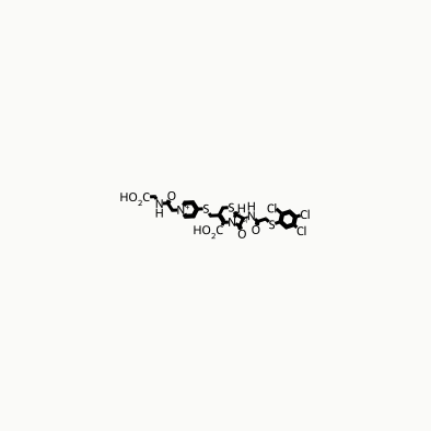 O=C(O)CNC(=O)C[n+]1ccc(SCC2=C(C(=O)O)N3C(=O)[C@H](NC(=O)CSc4cc(Cl)c(Cl)cc4Cl)[C@H]3SC2)cc1